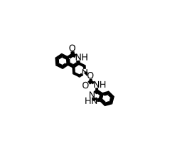 O=C(Nc1n[nH]c2ccccc12)ON1CCc2c([nH]c(=O)c3ccccc23)C1